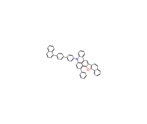 c1ccc(-c2ccc(N(c3ccc(-c4ccc(-c5cccc6ccccc56)cc4)cc3)c3ccccc3-c3ccc4oc5c6ccccc6ccc5c4c3)cc2)cc1